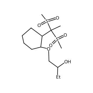 CCC(O)COC1CCCCC1C(C)(S(C)(=O)=O)S(C)(=O)=O